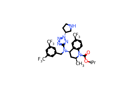 CC(C)OC(=O)N1c2ccc(C(F)(F)F)cc2[C@H](N(Cc2cc(C(F)(F)F)cc(C(F)(F)F)c2)c2nnn([C@@H]3CCNC3)n2)C[C@@H]1C